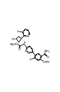 COc1cc(F)c(-c2ccc(N(C[C@]3(c4ncccc4F)C[C@@H](F)C3)C(=O)OC(C)(C)C)nn2)cc1C(N)=O